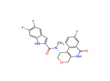 CN(C(=O)c1cc2cc(F)c(F)cc2[nH]1)[C@H]1COCc2[nH]c(=O)c3cc(F)ccc3c21